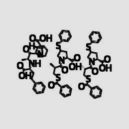 C[C@@H](CSC(=O)c1ccccc1)C(=O)N1C[C@@H](Sc2ccccc2)C[C@H]1C(=O)O.C[C@H](CSC(=O)c1ccccc1)C(=O)N1C[C@@H](Sc2ccccc2)C[C@H]1C(=O)O.C[C@H](N[C@@H](CCc1ccccc1)C(=O)O)C(=O)N1C2CCC(CC2)[C@H]1C(=O)O